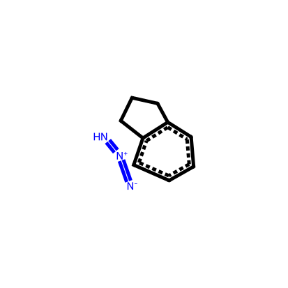 [N-]=[N+]=N.c1ccc2c(c1)CCC2